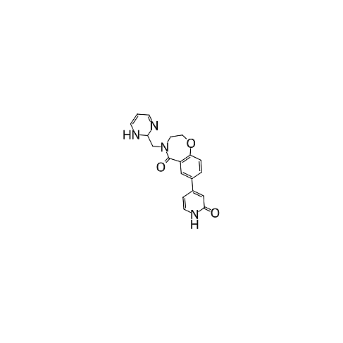 O=C1c2cc(-c3cc[nH]c(=O)c3)ccc2OCCN1CC1N=CC=CN1